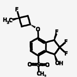 CS(=O)(=O)c1ccc(O[C@H]2C[C@@](C)(F)C2)c2c1[C@H](O)C(F)(F)[C@@H]2F